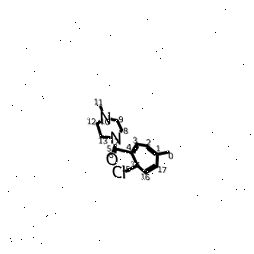 CC1=CC=C(C(=O)N2CCN(C)CC2)C(Cl)C=C1